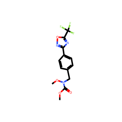 COC(=O)N(Cc1ccc(-c2noc(C(F)(F)F)n2)cc1)OC